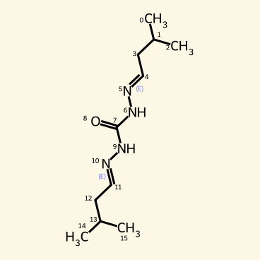 CC(C)C/C=N/NC(=O)N/N=C/CC(C)C